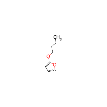 CCCCOc1cc[c]o1